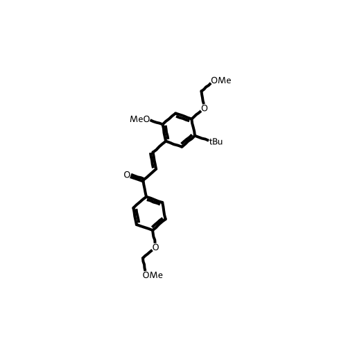 COCOc1ccc(C(=O)C=Cc2cc(C(C)(C)C)c(OCOC)cc2OC)cc1